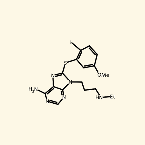 CCNCCCn1c(Sc2cc(OC)ccc2I)nc2c(N)ncnc21